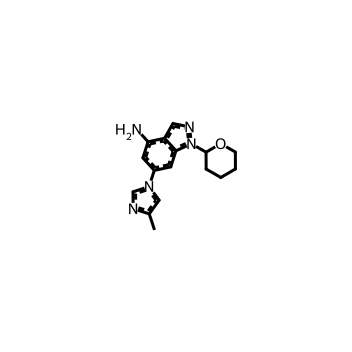 Cc1cn(-c2cc(N)c3cnn(C4CCCCO4)c3c2)cn1